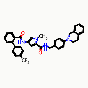 Cn1cc(NC(=O)c2ccccc2-c2ccc(C(F)(F)F)cc2)cc1C(=O)NCc1ccc(N2CCc3ccccc3C2)cc1